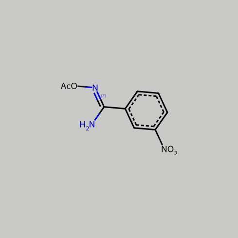 CC(=O)O/N=C(\N)c1cccc([N+](=O)[O-])c1